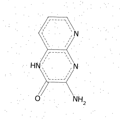 Nc1nc2ncccc2[nH]c1=O